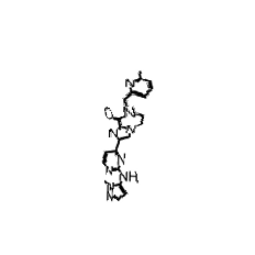 Cc1cccc(CN2CCn3cc(-c4ccnc(Nc5ccnn5C)n4)nc3C2=O)n1